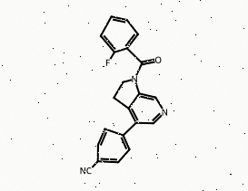 N#Cc1ccc(-c2cncc3c2CCN3C(=O)c2ccccc2F)cc1